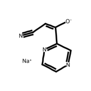 N#C/C=C(/[O-])c1cnccn1.[Na+]